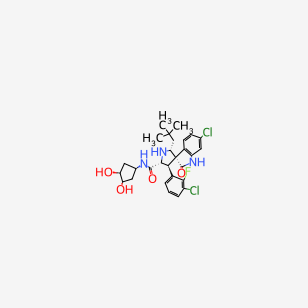 CC(C)(C)C[C@H]1N[C@@H](C(=O)N[C@H]2C[C@@H](O)[C@@H](O)C2)[C@H](c2cccc(Cl)c2F)[C@@]12C(=O)Nc1cc(Cl)ccc12